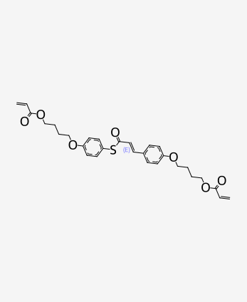 C=CC(=O)OCCCCOc1ccc(/C=C/C(=O)Sc2ccc(OCCCCOC(=O)C=C)cc2)cc1